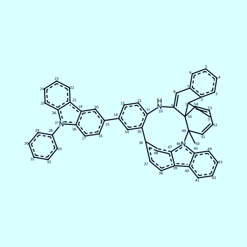 CC1c2ccccc2C=C2Nc3ccc(-c4ccc5c(c4)c4ccccc4n5-c4ccccc4)cc3-c3ccc4c5ccccc5n(c4c3)C3(C)C=CC=CC213